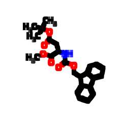 COC(=O)C(CC(=O)OC(C)(C)C)NC(=O)OCC1c2ccccc2-c2ccccc21